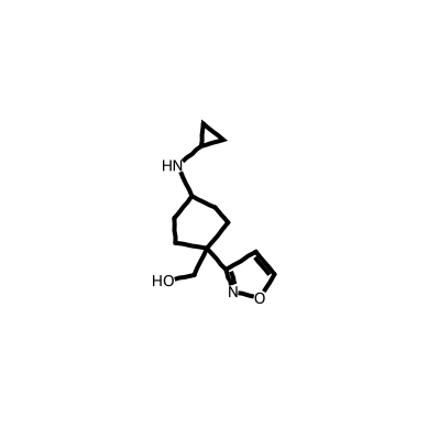 OCC1(c2ccon2)CCC(NC2CC2)CC1